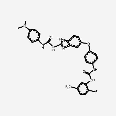 CN(C)c1ccc(NC(=O)Nc2nc3cc(Oc4ccc(NC(=O)Nc5cc(C(F)(F)F)ccc5F)cc4)ccc3[nH]2)cc1